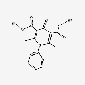 Cc1c(C(=O)OC(C)C)c(=O)c(C(=O)OC(C)C)c(C)n1-c1ccccc1